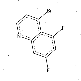 Fc1cc(F)c2c(Br)ccnc2c1